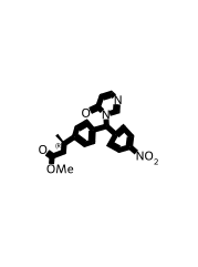 COC(=O)C[C@@H](C)c1ccc(C(c2ccc([N+](=O)[O-])cc2)n2cnccc2=O)cc1